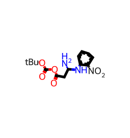 CC(C)(C)OC(=O)OC(=O)C[C@@H](N)Nc1ccccc1[N+](=O)[O-]